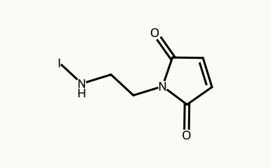 O=C1C=CC(=O)N1CCNI